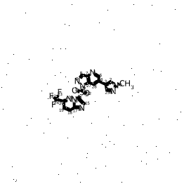 Cn1cc(-c2cnc3cnn(S(=O)(=O)c4cnc5ccc(C(F)(F)F)nn45)c3c2)cn1